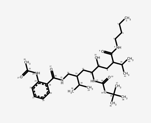 CCCCNC(=O)C(CC(O)C(CC(CNC(=O)c1ccccc1NC(C)=O)C(C)C)NC(=O)OC(C)(C)C)C(C)C